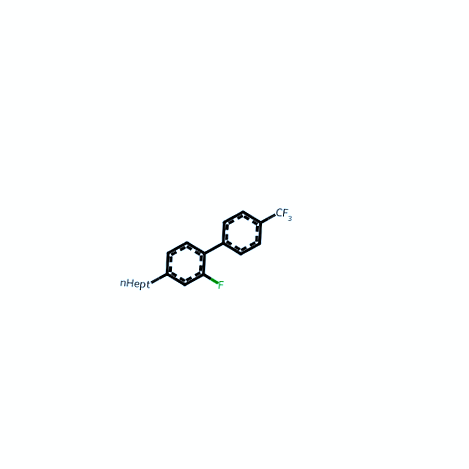 CCCCCCCc1ccc(-c2ccc(C(F)(F)F)cc2)c(F)c1